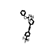 FC(F)(F)c1ccc(C#Cc2ccc3nnc(Oc4ccccc4)n3c2)cc1